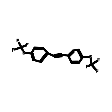 FC(F)(F)Sc1ccc(C#Cc2ccc(SC(F)(F)F)cc2)cc1